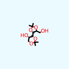 CC1(C)OCC(O)[C@H]([C@H]2OC(C)(C)OC2CO)O1